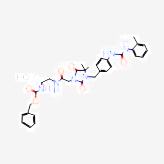 Cc1ccccc1NC(=O)Nc1ccc(CN2C(=O)N(CC(=O)NC[C@H](NC(=O)OCc3ccccc3)C(=O)O)C(=O)C2(C)C)cc1